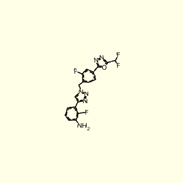 Nc1cccc(-c2cn(Cc3ccc(-c4nnc(C(F)F)o4)cc3F)nn2)c1F